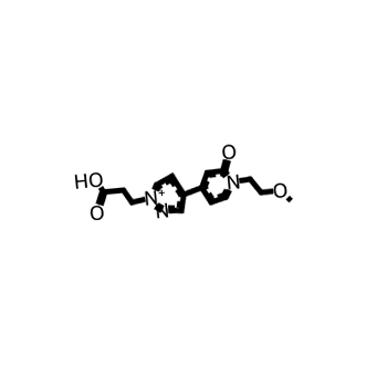 COCCn1ccc(-c2cc[n+](CCC(=O)O)nc2)cc1=O